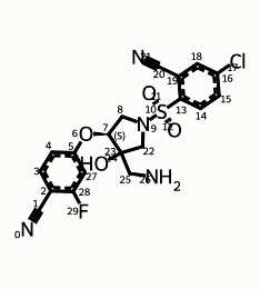 N#Cc1ccc(O[C@H]2CN(S(=O)(=O)c3ccc(Cl)cc3C#N)CC2(O)CN)cc1F